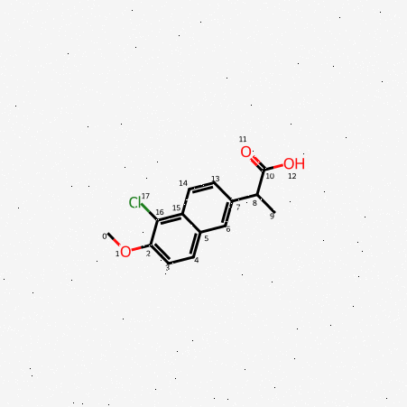 COc1ccc2cc(C(C)C(=O)O)ccc2c1Cl